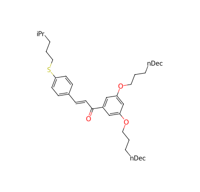 CCCCCCCCCCCCCOc1cc(OCCCCCCCCCCCCC)cc(C(=O)C=Cc2ccc(SCCCC(C)C)cc2)c1